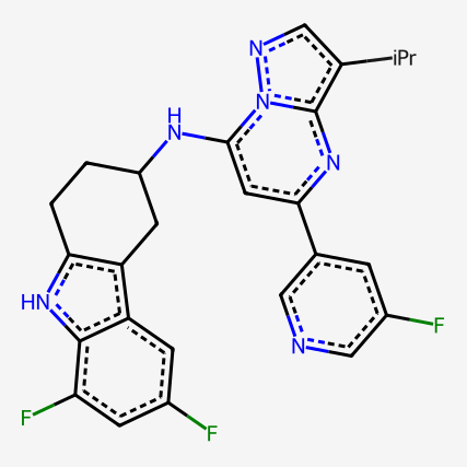 CC(C)c1cnn2c(NC3CCc4[nH]c5c(F)cc(F)cc5c4C3)cc(-c3cncc(F)c3)nc12